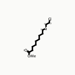 COC(=O)CCCCCCCCSCCCl